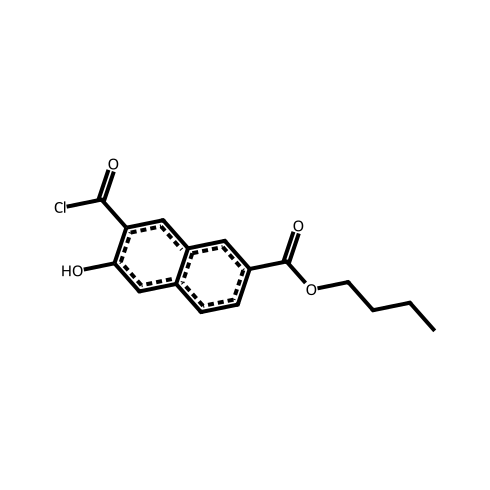 CCCCOC(=O)c1ccc2cc(O)c(C(=O)Cl)cc2c1